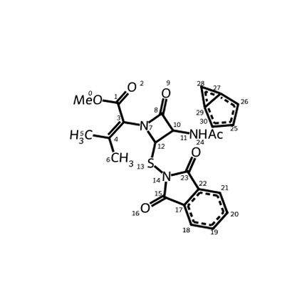 COC(=O)C(=C(C)C)N1C(=O)C(NC(C)=O)C1SN1C(=O)c2ccccc2C1=O.c1cc2cc-2c1